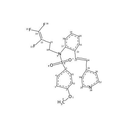 COc1ccc(S(=O)(=O)N(CCC(F)=C(F)F)c2ccccc2/C=C/c2ccncc2)cc1